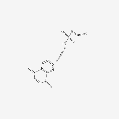 O=C1C=CC(=O)c2ccccc21.[N-]=[N+]=NNS(=O)(=O)N=[N+]=[N-]